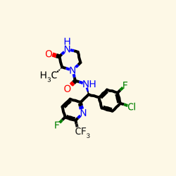 C[C@@H]1C(=O)NCCN1C(=O)N[C@@H](c1ccc(Cl)c(F)c1)c1ccc(F)c(C(F)(F)F)n1